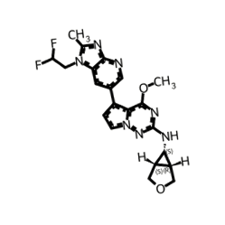 COc1nc(N[C@@H]2[C@@H]3COC[C@@H]32)nn2ccc(-c3cnc4nc(C)n(CC(F)F)c4c3)c12